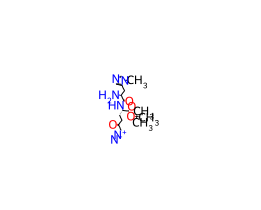 Cn1cncc1C[C@H](N)C(=O)N[C@@H](CCC(=O)C=[N+]=[N-])C(=O)OC(C)(C)C